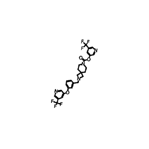 O=C(Oc1cncc(C(F)(F)F)c1)N1CCC2(CC1)CN(Cc1cccc(Oc3cncc(C(F)(F)F)c3)c1)C2